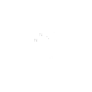 CCn1nncc1CCl